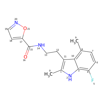 Cc1[nH]c2c(F)ccc(C)c2c1CCNC(=O)c1ccno1